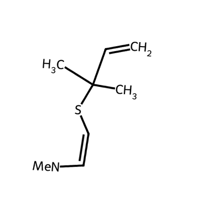 C=CC(C)(C)S/C=C\NC